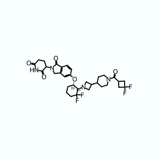 O=C1CCC(N2Cc3cc(O[C@H]4CCCC(F)(F)[C@@H]4N4CC(C5CCN(C(=O)C6CC(F)(F)C6)CC5)C4)ccc3C2=O)C(=O)N1